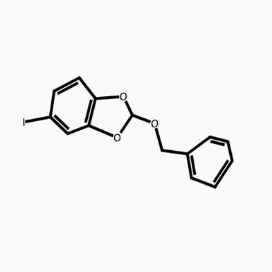 Ic1ccc2c(c1)OC(OCc1ccccc1)O2